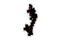 CCOc1ccc2c(oc3c(F)c(OCCCCCCP(=O)(OC(C)(C)C)OC(C)(C)C)ccc32)c1F